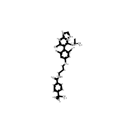 C[C@H](Nc1c(-c2c(F)cc(OCCCNC(=O)c3ccc(C4(C(F)(F)F)N=N4)cc3)cc2F)c(Cl)nc2ncnn12)C(F)(F)F